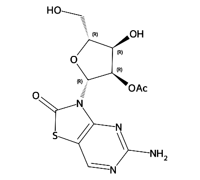 CC(=O)O[C@@H]1[C@H](O)[C@@H](CO)O[C@H]1n1c(=O)sc2cnc(N)nc21